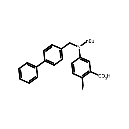 CCCCN(Cc1ccc(-c2ccccc2)cc1)c1ccc(F)c(C(=O)O)c1